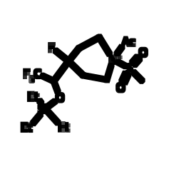 CC[Si](CC)(CC)OC(C(F)(F)F)C1(F)CC[N+](C(C)=O)(S(C)(=O)=O)CC1